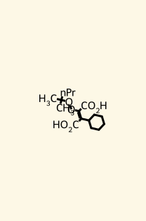 CCCC(C)(C)OO/C(C(=O)O)=C(\C(=O)O)C1CCCCC1